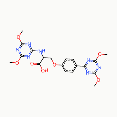 COc1nc(NC(COc2ccc(-c3nc(OC)nc(OC)n3)cc2)C(=O)O)nc(OC)n1